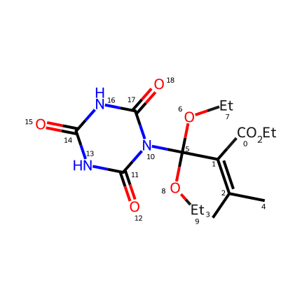 CCOC(=O)C(=C(C)C)C(OCC)(OCC)n1c(=O)[nH]c(=O)[nH]c1=O